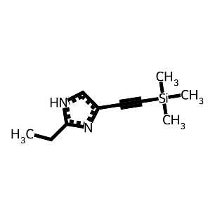 CCc1nc(C#C[Si](C)(C)C)c[nH]1